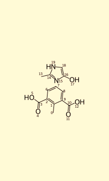 Cc1c(C(=O)O)cccc1C(=O)O.Cc1nc(O)c[nH]1